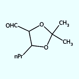 CCCC1OC(C)(C)OC1C=O